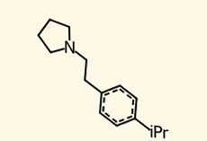 CC(C)c1ccc(CCN2CCCC2)cc1